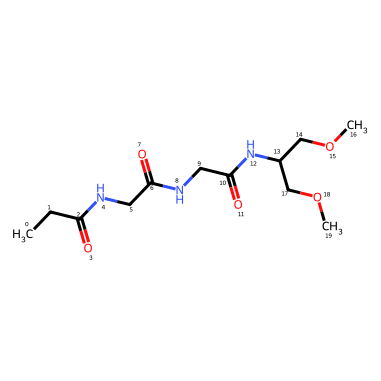 CCC(=O)NCC(=O)NCC(=O)NC(COC)COC